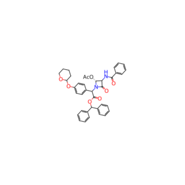 CC(=O)O[C@@H]1C(NC(=O)c2ccccc2)C(=O)N1C(C(=O)OC(c1ccccc1)c1ccccc1)c1ccc(OC2CCCCO2)cc1